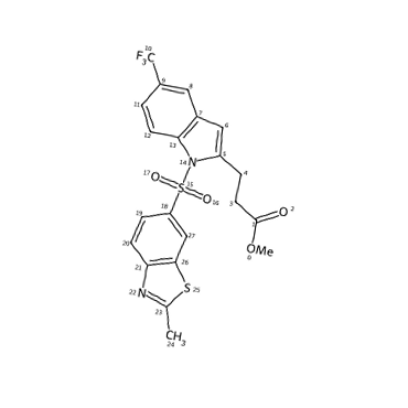 COC(=O)CCc1cc2cc(C(F)(F)F)ccc2n1S(=O)(=O)c1ccc2nc(C)sc2c1